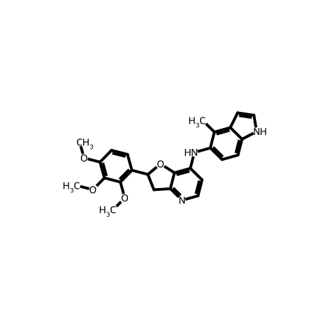 COc1ccc(C2Cc3nccc(Nc4ccc5[nH]ccc5c4C)c3O2)c(OC)c1OC